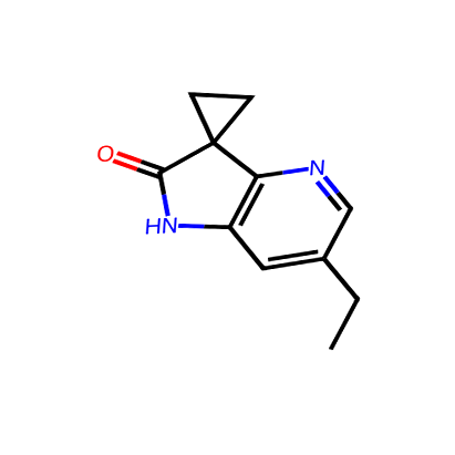 CCc1cnc2c(c1)NC(=O)C21CC1